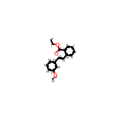 CCOC(=O)c1ccccc1[C]=Cc1cccc(OC)c1